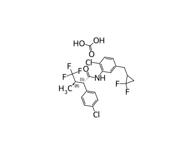 C[C@H]([C@H](C(=O)Nc1cc(CC2CC2(F)F)ccc1Cl)c1ccc(Cl)cc1)C(F)(F)F.O=C(O)O